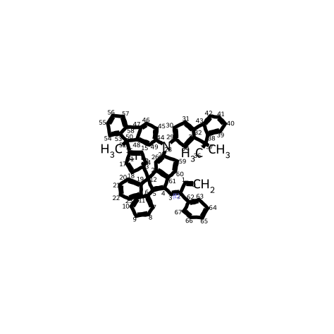 C=C/C(=C\C1=C(c2ccccc2)C(c2ccccc2)(c2ccccc2)c2cc(N(c3ccc4c(c3)C(C)(C)c3ccccc3-4)c3ccc4c(c3)C(C)(C)c3ccccc3-4)ccc21)c1ccccc1